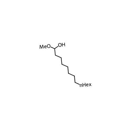 [CH2]OC(O)CCCCCCCCCCCCC